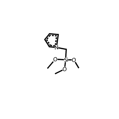 CO[Si](Cn1cccc1)(OC)OC